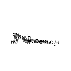 CN(CCOc1cc(CO)nc(CO)c1)CC(C)(C)SCC(=O)NCCOCCOCCOCCOCCC(=O)O